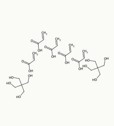 C=CC(=O)O.C=CC(=O)O.C=CC(=O)O.C=CC(=O)O.C=CC(=O)O.OCC(CO)(CO)CO.OCC(CO)(CO)CO